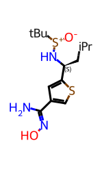 CC(C)C[C@H](N[S+]([O-])C(C)(C)C)c1cc(C(N)=NO)cs1